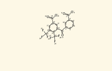 O=C(c1cccc([N+](=O)[O-])c1)c1cc([N+](=O)[O-])cc(C(F)(F)F)c1C(F)(F)F